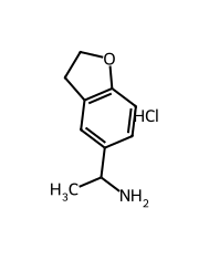 CC(N)c1ccc2c(c1)CCO2.Cl